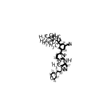 CCC(C)(CO[Si](C)(C)C(C)(C)C)c1cc(C#N)cc(-c2ccnc(Nc3cnn(CCN4CCOCC4)c3C)n2)c1